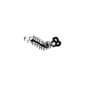 O=S(=O)(ON1Cc2cccc3cccc(c23)C1)C(F)(F)C(F)(F)C(F)(F)C(F)(F)C(F)(F)C(F)(F)C(F)(F)C(F)(F)F